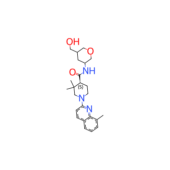 Cc1cccc2ccc(N3CC[C@H](C(=O)NC4COCC(CO)C4)C(C)(C)C3)nc12